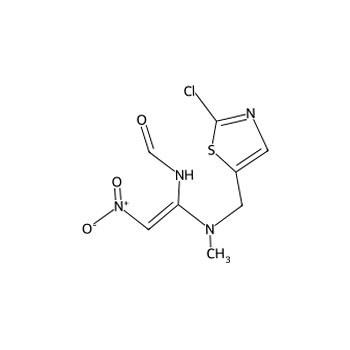 CN(Cc1cnc(Cl)s1)C(=C[N+](=O)[O-])NC=O